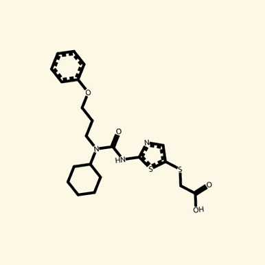 O=C(O)CSc1cnc(NC(=O)N(CCCOc2ccccc2)C2CCCCC2)s1